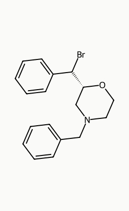 BrC(c1ccccc1)[C@H]1CN(Cc2ccccc2)CCO1